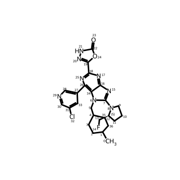 CC1CCC(Cn2c(N3CCC[C@H]3CF)nc3nc(-c4n[nH]c(=O)o4)nc(-c4cncc(Cl)c4)c32)CC1